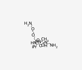 CC(C)C(NC(=O)CCOCCOCCN)C(=O)N[C@@H](C)C(=O)NCCN